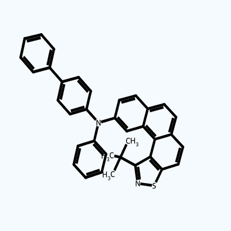 CC(C)(C)c1nsc2ccc3ccc4ccc(N(c5ccccc5)c5ccc(-c6ccccc6)cc5)cc4c3c12